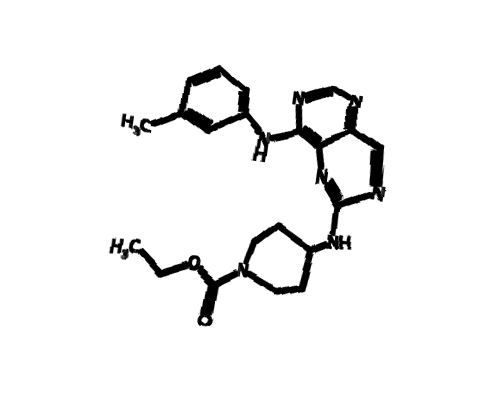 CCOC(=O)N1CCC(Nc2ncc3ncnc(Nc4cccc(C)c4)c3n2)CC1